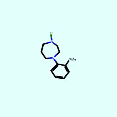 COc1ccccc1N1CCCN(Cl)CC1